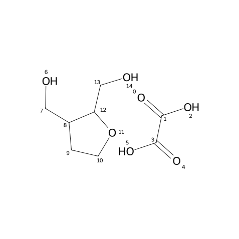 O=C(O)C(=O)O.OCC1CCOC1CO